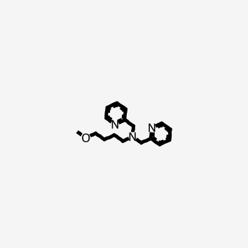 COCCCCN(Cc1ccccn1)Cc1ccccn1